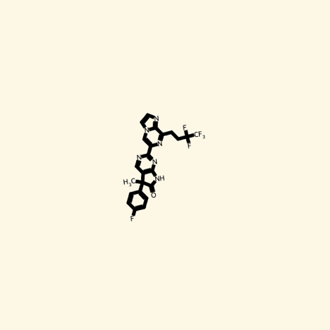 CC1(c2ccc(F)cc2)C(=O)Nc2nc(-c3cn4ccnc4c(CCC(F)(F)C(F)(F)F)n3)ncc21